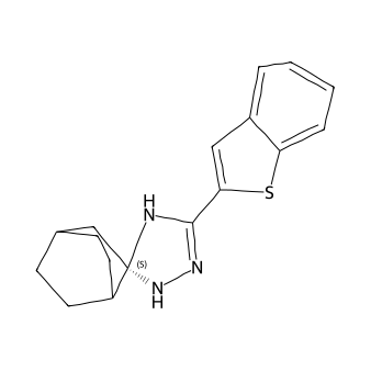 c1ccc2sc(C3=NN[C@]4(CC5CCC4CC5)N3)cc2c1